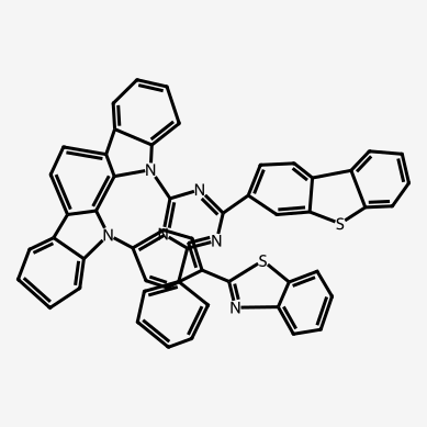 c1ccc(-c2nc(-c3ccc4c(c3)sc3ccccc34)nc(-n3c4ccccc4c4ccc5c6ccccc6n(-c6ccc(-c7nc8ccccc8s7)cc6)c5c43)n2)cc1